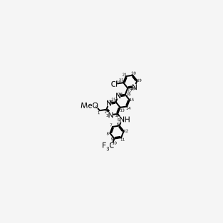 COCc1nc(Nc2ccc(C(F)(F)F)cc2)c2ccc(-c3ncccc3Cl)nc2n1